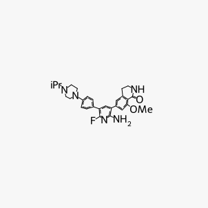 COc1cc(-c2cc(-c3ccc(N4CCN(C(C)C)CC4)cc3)c(F)nc2N)cc2c1C(=O)NCC2